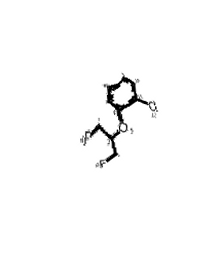 FCC(CF)Oc1cc[c]cc1Cl